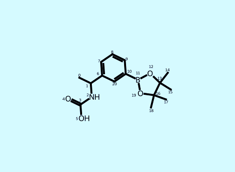 CC(NC(=O)O)c1cccc(B2OC(C)(C)C(C)(C)O2)c1